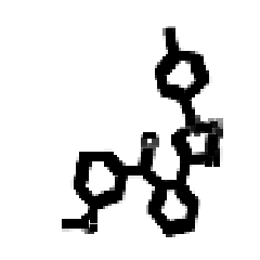 COc1cccc(C(=O)c2ccccc2-c2cn(-c3ccc(C)cc3)nn2)c1